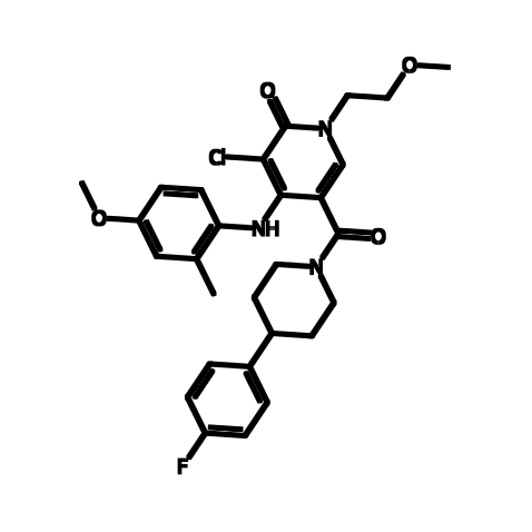 COCCn1cc(C(=O)N2CCC(c3ccc(F)cc3)CC2)c(Nc2ccc(OC)cc2C)c(Cl)c1=O